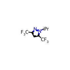 CC(C)n1nc(C(F)(F)F)cc1C(F)(F)F